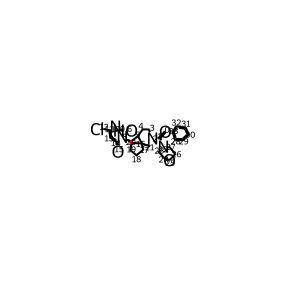 O=C(N1CC[C@@](O)(Cn2cnc(Cl)cc2=O)C2(CCCC2)C1)N1CCOC[C@H]1c1ccccc1